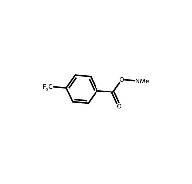 CNOC(=O)c1ccc(C(F)(F)F)cc1